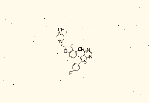 Cc1c(-c2c(-c3ccc(F)cc3)sc3ncnc(Cl)c23)ccc(OCCN2CCN(C)CC2)c1Cl